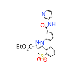 CCOC(=O)c1nn(-c2cccc(C(=O)Nc3cccnc3)c2)c2c1CS(=O)(=O)c1ccccc1-2